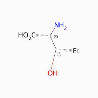 CC[C@H](O)[C@@H](N)C(=O)O